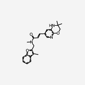 Cc1c(CN(C)C(=O)/C=C/c2cnc3c(c2)NC(C)(C)CO3)oc2ccccc12